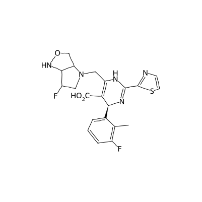 Cc1c(F)cccc1[C@@H]1N=C(c2nccs2)NC(CN2CC(F)C3NOCC32)=C1C(=O)O